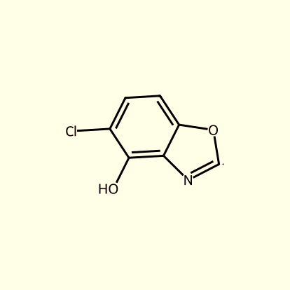 Oc1c(Cl)ccc2o[c]nc12